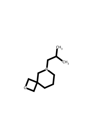 CC(C)CN1CCCC2(COC2)C1